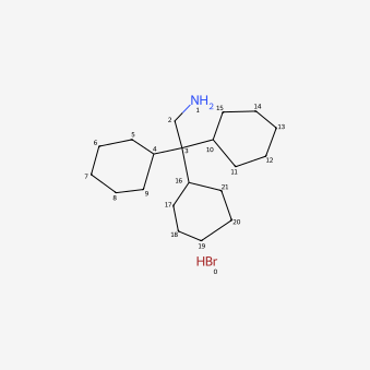 Br.NCC(C1CCCCC1)(C1CCCCC1)C1CCCCC1